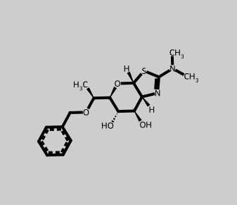 C[C@H](OCc1ccccc1)[C@H]1O[C@@H]2SC(N(C)C)=N[C@@H]2[C@@H](O)[C@@H]1O